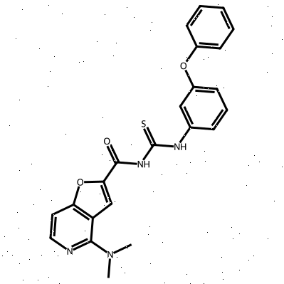 CN(C)c1nccc2oc(C(=O)NC(=S)Nc3cccc(Oc4ccccc4)c3)cc12